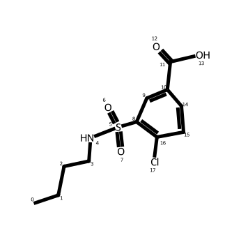 CCCCNS(=O)(=O)c1cc(C(=O)O)ccc1Cl